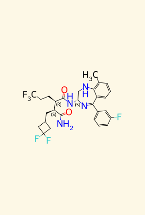 Cc1cccc2c1NC[C@@H](NC(=O)[C@H](CCC(F)(F)F)[C@H](CC1CC(F)(F)C1)C(N)=O)N=C2c1cccc(F)c1